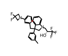 Cc1cccc(C2(Cc3cccc(N4CC(F)(F)C4)c3)CN(C[C@@H](O)C(F)(F)F)c3ccccc32)c1